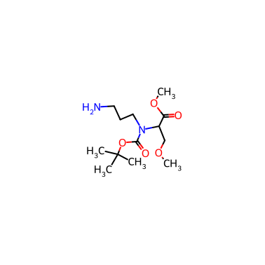 COCC(C(=O)OC)N(CCCN)C(=O)OC(C)(C)C